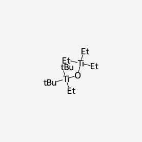 C[CH2][Ti]([CH2]C)([CH2]C)[O][Ti]([CH2]C)([C](C)(C)C)[C](C)(C)C